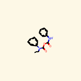 CCN(C(=O)OC(=O)Nc1ccccc1)c1ccccc1